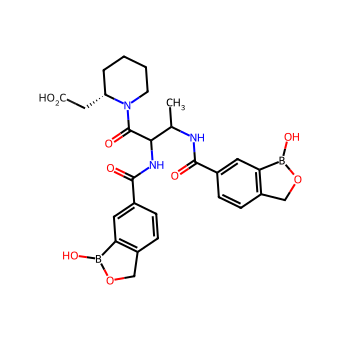 CC(NC(=O)c1ccc2c(c1)B(O)OC2)C(NC(=O)c1ccc2c(c1)B(O)OC2)C(=O)N1CCCC[C@H]1CC(=O)O